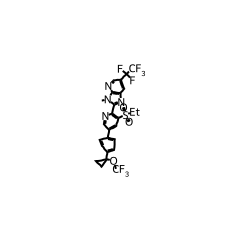 CCS(=O)(=O)c1cc(-c2ccc(C3(OC(F)(F)F)CC3)cc2)cnc1-c1nc2cc(C(F)(F)C(F)(F)F)cnc2n1C